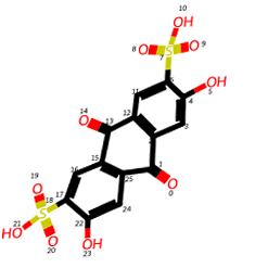 O=C1c2cc(O)c(S(=O)(=O)O)cc2C(=O)c2cc(S(=O)(=O)O)c(O)cc21